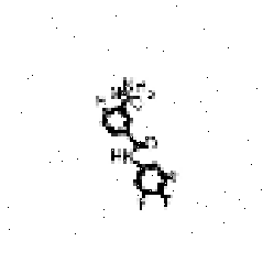 NS(=O)(=O)c1cc(C(=O)Nc2cc(F)c(F)c(F)c2)ccc1F